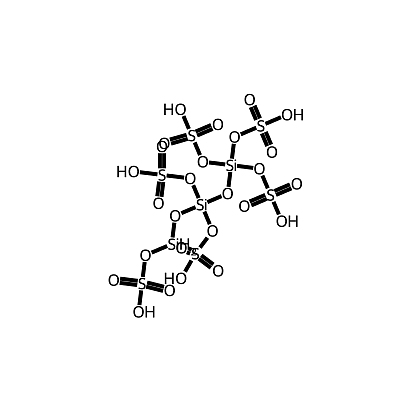 O=S(=O)(O)O[SiH2]O[Si](O[Si](OS(=O)(=O)O)(OS(=O)(=O)O)OS(=O)(=O)O)(OS(=O)(=O)O)OS(=O)(=O)O